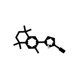 C#Cc1ccc(-c2cc3c(cc2C)C(C)(C)CCC3(C)C)s1